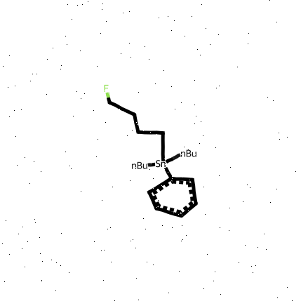 CCC[CH2][Sn]([CH2]CCC)([CH2]CCCF)[c]1ccccc1